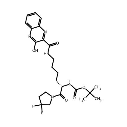 CC(C)(C)OC(=O)N[C@@H](CCCCNC(=O)c1nc2ccccc2nc1O)C(=O)N1CCC(F)(F)C1